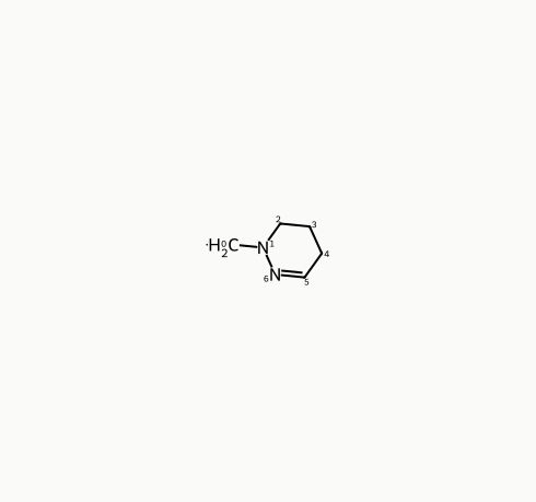 [CH2]N1CCCC=N1